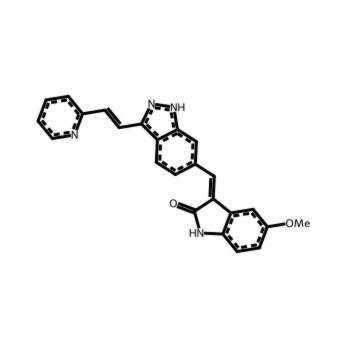 COc1ccc2c(c1)/C(=C/c1ccc3c(/C=C/c4ccccn4)n[nH]c3c1)C(=O)N2